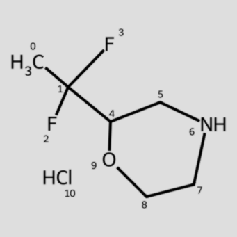 CC(F)(F)C1CNCCO1.Cl